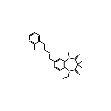 CCN1C(=O)C(C)(C)C(=O)N(C)c2cc(CNCCc3cccnc3C)ccc21